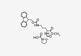 COC(=O)C(CCCNC(=O)OCC1c2ccccc2-c2ccccc21)NC(=O)[C@@H]1CCCN1C(=O)O